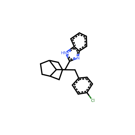 Clc1ccc(CC2CC3CCC(C2)C3Cc2nc3ccccc3[nH]2)cc1